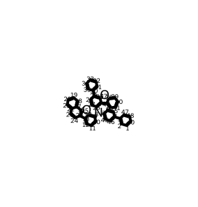 c1ccc(-c2ccc(N(c3cccc4c3oc3c5ccccc5ccc43)c3ccc(-c4ccccc4)c4oc5ccccc5c34)cc2)cc1